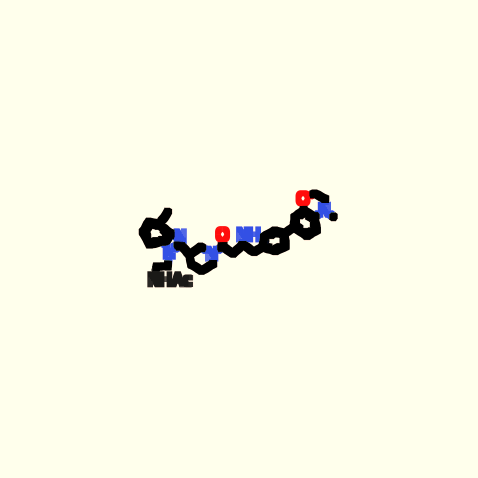 CC(=O)NCCn1c(C2CCCN(C(=O)CC(N)Cc3ccc(-c4ccc5c(c4)OCCN5C)cc3)C2)nc2c(C)cccc21